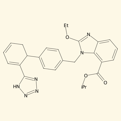 CCOc1nc2cccc(C(=O)OC(C)C)c2n1Cc1ccc(C2CC=CC=C2c2nnn[nH]2)cc1